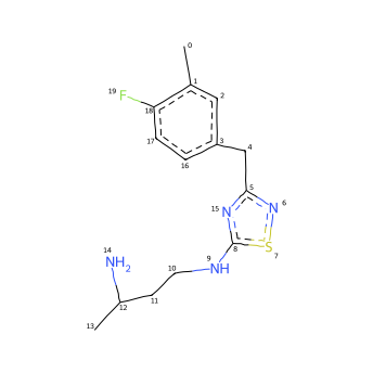 Cc1cc(Cc2nsc(NCCC(C)N)n2)ccc1F